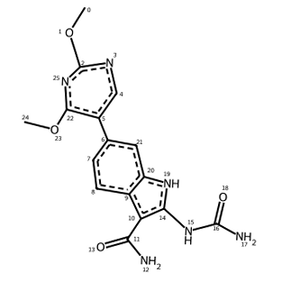 COc1ncc(-c2ccc3c(C(N)=O)c(NC(N)=O)[nH]c3c2)c(OC)n1